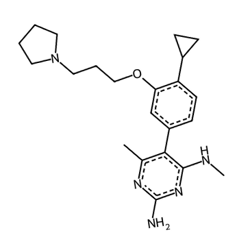 CNc1nc(N)nc(C)c1-c1ccc(C2CC2)c(OCCCN2CCCC2)c1